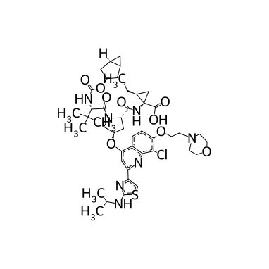 CC[C@H]1C[C@]1(NC(=O)[C@@H]1C[C@@H](Oc2cc(-c3csc(NC(C)C)n3)nc3c(Cl)c(OCCN4CCOCC4)ccc23)CN1C(=O)[C@@H](NC(=O)O[C@@H]1CC2C[C@@H]2C1)C(C)(C)C)C(=O)O